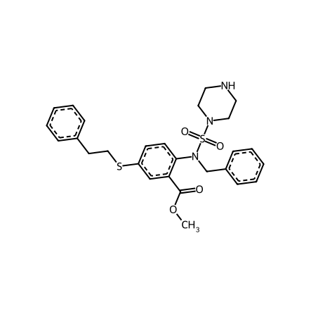 COC(=O)c1cc(SCCc2ccccc2)ccc1N(Cc1ccccc1)S(=O)(=O)N1CCNCC1